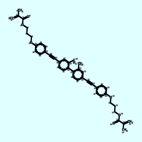 C=C(C)C(=O)OCCCOc1ccc(C#Cc2ccc(-c3ccc(C#Cc4ccc(OCCCOC(=O)C(=C)C)cc4)cc3C)c(C)c2)cc1